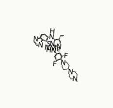 C=Cc1cnc(Nc2cc(F)c(N3CCC(N4CCN(C)CC4)CC3)c(F)c2)nc1Nc1ccc2nccnc2c1SNC